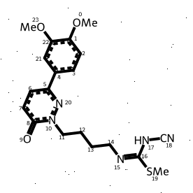 COc1ccc(-c2ccc(=O)n(CCCCN=C(NC#N)SC)n2)cc1OC